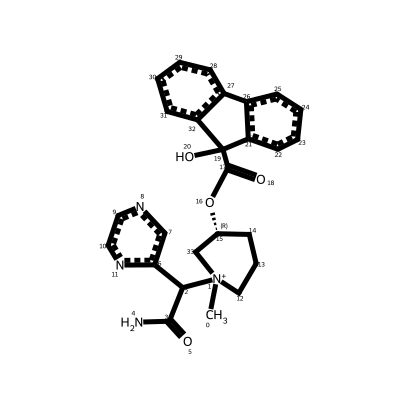 C[N+]1(C(C(N)=O)c2cnccn2)CCC[C@@H](OC(=O)C2(O)c3ccccc3-c3ccccc32)C1